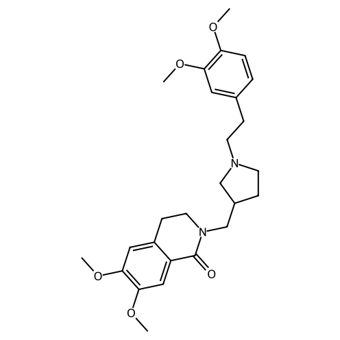 COc1ccc(CCN2CCC(CN3CCc4cc(OC)c(OC)cc4C3=O)C2)cc1OC